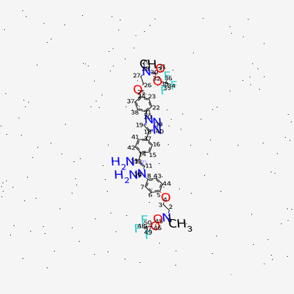 CN(CCOc1ccc(N(N)/C=C(\N)c2ccc(-c3cn(-c4ccc(OCCN(C)C(=O)OC(F)(F)F)cc4)nn3)cc2)cc1)OOC(F)(F)F